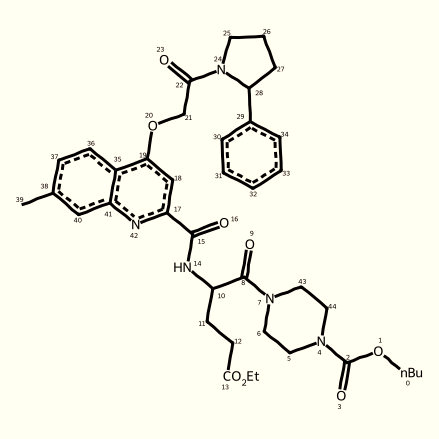 CCCCOC(=O)N1CCN(C(=O)C(CCC(=O)OCC)NC(=O)c2cc(OCC(=O)N3CCCC3c3ccccc3)c3ccc(C)cc3n2)CC1